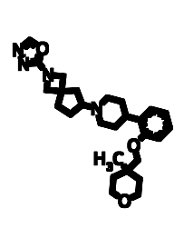 CC1(COc2ccccc2C2CCN(C3CCC4(C3)CN(c3nnco3)C4)CC2)CCOCC1